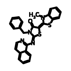 CN1C(=C2SC(=Nc3nccc4ccccc34)N(Cc3ccccc3)C2=O)Sc2ccccc21